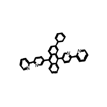 C1=CCC(c2ccc3c(-c4ccc(-c5ccccn5)nc4)c4ccccc4c(-c4ccc(-c5ccccn5)nc4)c3c2)C=C1